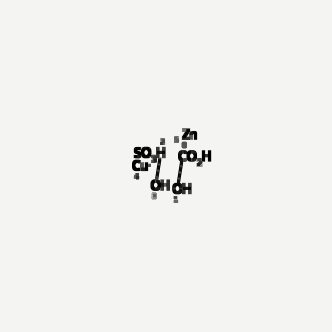 O=C(O)O.O=S(=O)(O)O.[Cu].[Zn]